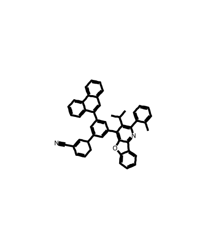 Cc1ccccc1-c1nc2c(oc3ccccc32)c(-c2cc(-c3cc4ccccc4c4ccccc34)cc(C3C=C(C#N)C=CC3)c2)c1C(C)C